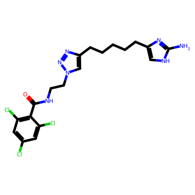 Nc1nc(CCCCCc2cn(CCNC(=O)c3c(Cl)cc(Cl)cc3Cl)nn2)c[nH]1